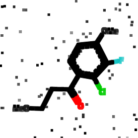 COCCC(=O)c1ccc(OC)c(F)c1Cl